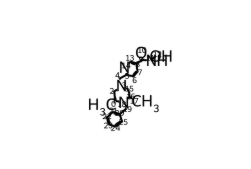 CC1CN(Cc2ccc(C(=O)NO)cn2)CC(C)N1Cc1ccccc1